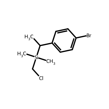 CC(c1ccc(Br)cc1)[Si](C)(C)CCl